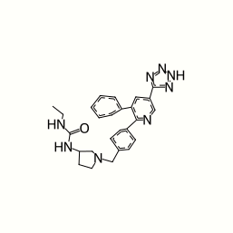 CCNC(=O)NC1CCN(Cc2ccc(-c3ncc(-c4nn[nH]n4)cc3-c3ccccc3)cc2)C1